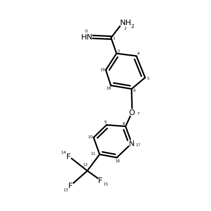 N=C(N)c1ccc(Oc2ccc(C(F)(F)F)cn2)cc1